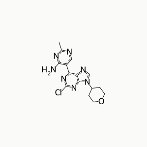 Cc1ncc(-c2nc(Cl)nc3c2ncn3C2CCOCC2)c(N)n1